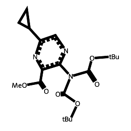 COC(=O)c1nc(C2CC2)cnc1N(C(=O)OC(C)(C)C)C(=O)OC(C)(C)C